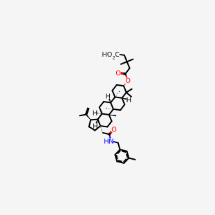 C=C(C)[C@@H]1CC[C@]2(CC(=O)NCc3cccc(C)c3)CC[C@]3(C)[C@H](CC[C@@H]4[C@@]5(C)CC[C@H](OC(=O)CC(C)(C)CC(=O)O)C(C)(C)[C@@H]5CC[C@]43C)[C@@H]12